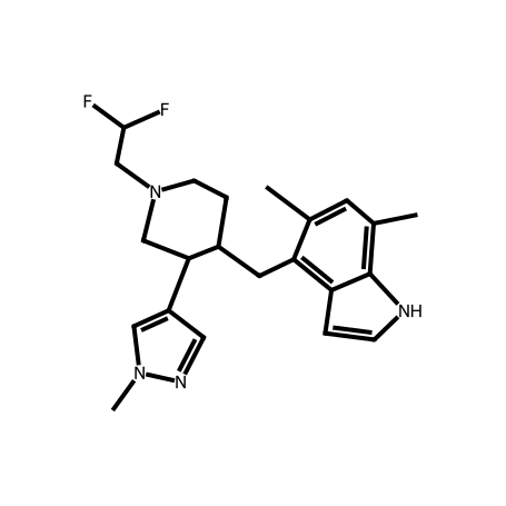 Cc1cc(C)c2[nH]ccc2c1CC1CCN(CC(F)F)CC1c1cnn(C)c1